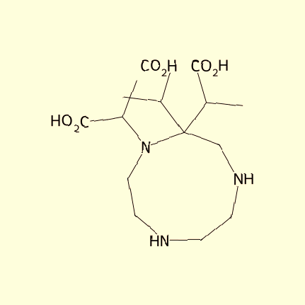 CC(C(=O)O)N1CCNCCNCC1(C(C)C(=O)O)C(C)C(=O)O